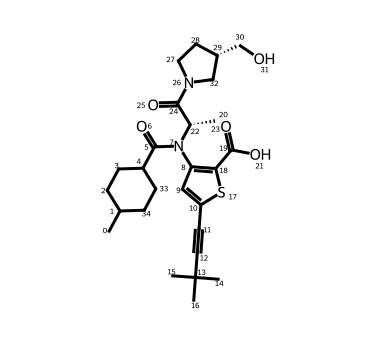 CC1CCC(C(=O)N(c2cc(C#CC(C)(C)C)sc2C(=O)O)[C@@H](C)C(=O)N2CC[C@H](CO)C2)CC1